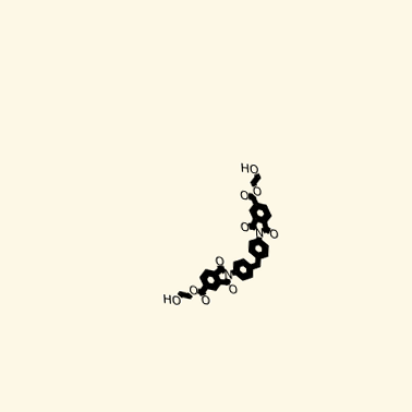 O=C(OCCO)c1ccc2c(c1)C(=O)N(c1ccc(Cc3ccc(N4C(=O)c5ccc(C(=O)OCCO)cc5C4=O)cc3)cc1)C2=O